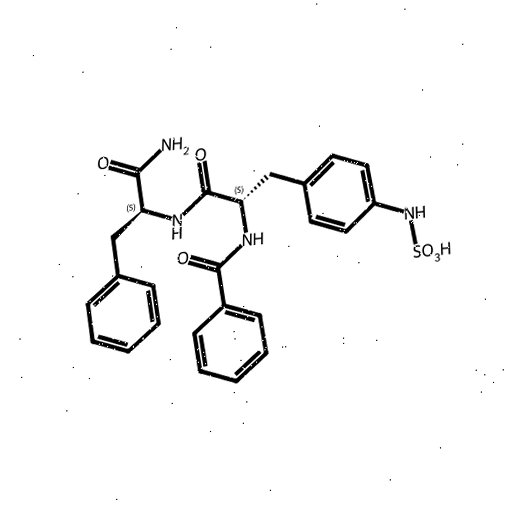 NC(=O)[C@H](Cc1ccccc1)NC(=O)[C@H](Cc1ccc(NS(=O)(=O)O)cc1)NC(=O)c1ccccc1